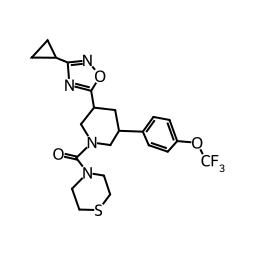 O=C(N1CCSCC1)N1CC(c2ccc(OC(F)(F)F)cc2)CC(c2nc(C3CC3)no2)C1